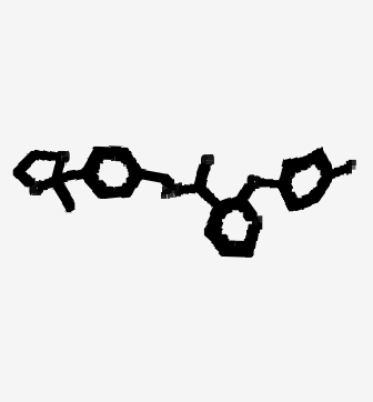 CC1(c2ccc(CNC(=O)c3cccnc3Oc3ccc(F)cc3)cc2)OCCO1